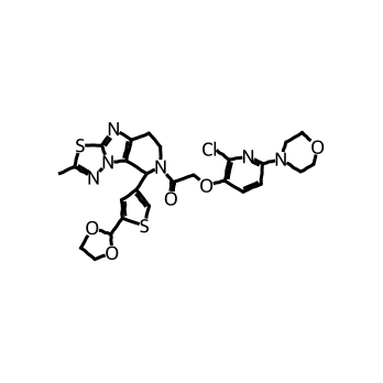 Cc1nn2c3c(nc2s1)CCN(C(=O)COc1ccc(N2CCOCC2)nc1Cl)C3c1csc(C2OCCO2)c1